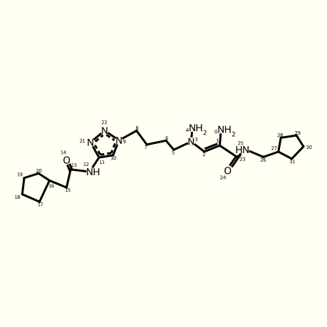 N/C(=C\N(N)CCCCn1cc(NC(=O)CC2CCCC2)nn1)C(=O)NCC1CCCC1